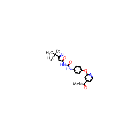 CCC(C)(C)c1cc(NC(=O)Nc2ccc(Oc3cc(C(=O)NC)ccn3)cc2)on1